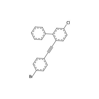 Clc1ccc(C#Cc2ccc(Br)cc2)c(-c2ccccc2)c1